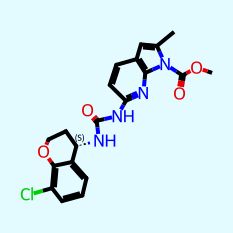 COC(=O)n1c(C)cc2ccc(NC(=O)N[C@H]3CCOc4c(Cl)cccc43)nc21